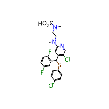 CN(CCN(C)c1cc(C(Sc2ccc(Cl)cc2)c2cc(F)ccc2F)c(Cl)cn1)C(=O)O